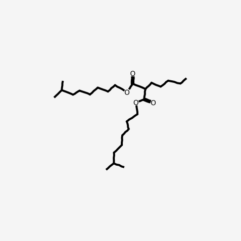 CCCCCC(C(=O)OCCCCCCC(C)C)C(=O)OCCCCCCC(C)C